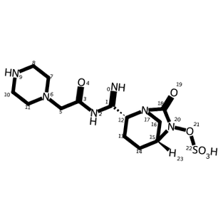 N=C(NC(=O)CN1CCNCC1)[C@H]1CC[C@@H]2CN1C(=O)N2OS(=O)(=O)O